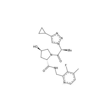 Cc1ccnc(CNC(=O)[C@@H]2C[C@@H](O)CN2C(=O)[C@@H](n2cc(C3CC3)nn2)C(C)(C)C)c1F